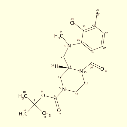 CN1C[C@H]2CN(C(=O)OC(C)(C)C)CCN2C(=O)c2ccc(Br)c(Cl)c21